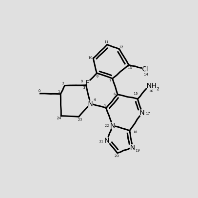 CC1CCN(c2c(-c3c(F)cccc3Cl)c(N)nc3ncnn23)CC1